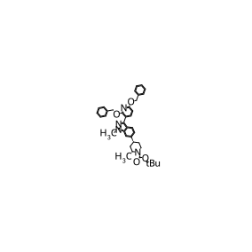 C[C@H]1C[C@@H](c2ccc3c(-c4ccc(OCc5ccccc5)nc4OCc4ccccc4)nn(C)c3c2)CCN1C(=O)OC(C)(C)C